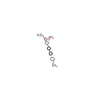 CCCCCC1(C(=O)OC)CCC(c2ccc(-c3ccc([C@H]4CC[C@H](CCC)CC4)cc3)cc2)CC1